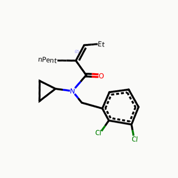 CC/C=C(/CCCCC)C(=O)N(Cc1cccc(Cl)c1Cl)C1CC1